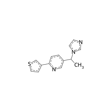 CC(c1ccc(-c2ccsc2)nc1)n1ccnc1